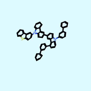 c1ccc(-c2cccc(-c3cccc4c3c3cc(-c5ccc6c(c5)c5ccccc5n6-c5ccc6sc7ccccc7c6c5)ccc3n4-c3cccc(-c4ccccc4)c3)c2)cc1